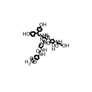 NS(=O)(=O)c1ccc(NC(=O)NC2CCN(c3nc(NCC(c4ccc(O)cc4)c4ccc(O)cc4)c4ncn([C@@H]5C[C@H](NC(=O)CCO)[C@@H](O)[C@H]5O)c4n3)C2)cc1